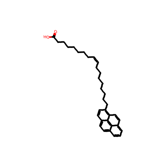 O=C(O)CCCCCCC/C=C\CCCCCCCCc1ccc2ccc3cccc4ccc1c2c34